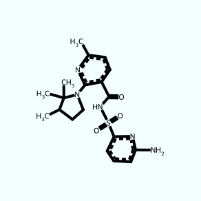 Cc1ccc(C(=O)NS(=O)(=O)c2cccc(N)n2)c(N2CCC(C)C2(C)C)n1